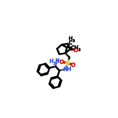 CC1(C)C2CC[C@@]1(CS(=O)(=O)N[C@@H](c1ccccc1)[C@@H](N)c1ccccc1)C(=O)C2